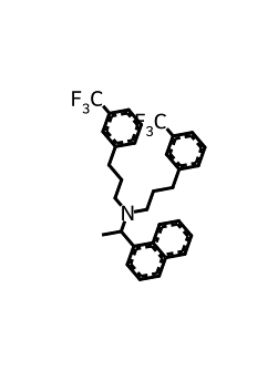 CC(c1cccc2ccccc12)N(CCCc1cccc(C(F)(F)F)c1)CCCc1cccc(C(F)(F)F)c1